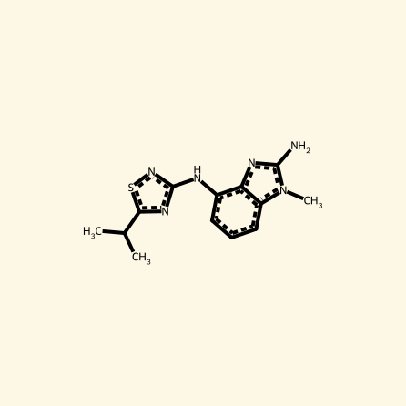 CC(C)c1nc(Nc2cccc3c2nc(N)n3C)ns1